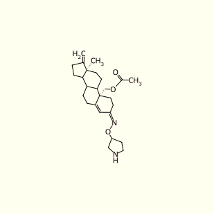 C=C1CCC2C3CCC4=CC(=NOC5CCNC5)CC[C@]4(COC(C)=O)C3CC[C@]12C